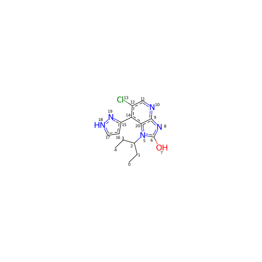 CCC(CC)n1c(O)nc2ncc(Cl)c(-c3cc[nH]n3)c21